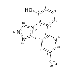 Oc1cccc(-c2ccc(C(F)(F)F)cc2)c1-n1cnnc1